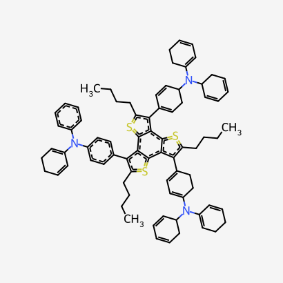 CCCCc1sc2c(c1C1=CCC(N(C3=CC=CCC3)C3C=CC=CC3)C=C1)c1sc(CCCC)c(C3=CC=C(N(C4=CCCC=C4)C4C=CC=CC4)CC3)c1c1sc(CCCC)c(-c3ccc(N(C4=CCCC=C4)c4ccccc4)cc3)c21